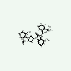 COc1cccc2c1n(Cc1ccccc1C(F)(F)F)c(=O)n2[C@@H]1CCN(c2c(F)cccc2C#N)C1